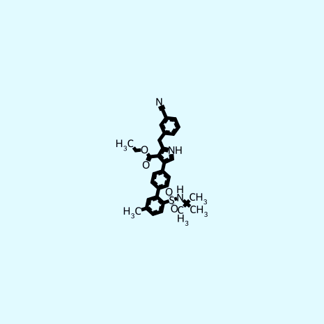 CCOC(=O)c1c(-c2ccc(-c3cc(C)ccc3S(=O)(=O)NC(C)(C)C)cc2)c[nH]c1Cc1cccc(C#N)c1